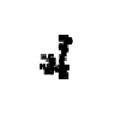 CCCCC(C)[C@@H](O)CC[C@H]1[C@H](O)CC(=O)[C@@H]1CCC/C=C/C=C/OC(=O)CCC(=O)O